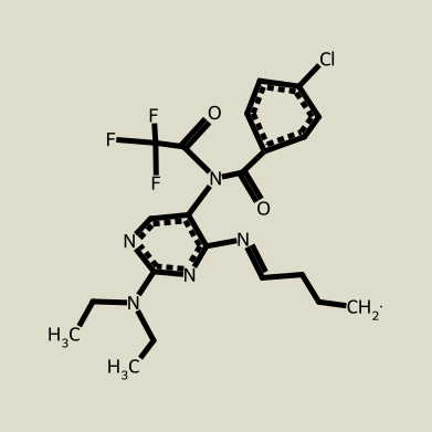 [CH2]CCC=Nc1nc(N(CC)CC)ncc1N(C(=O)c1ccc(Cl)cc1)C(=O)C(F)(F)F